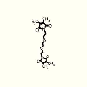 CC1=C(C)C(=O)N(CCOCCOCCN2C(=O)C(C)=C(C)C2=O)C1=O